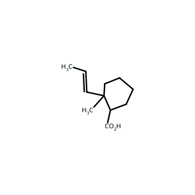 CC=CC1(C)CCCCC1C(=O)O